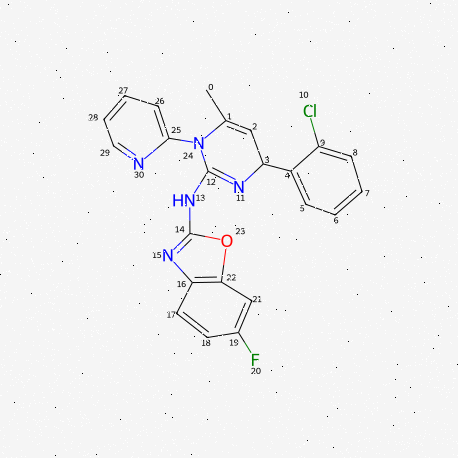 CC1=CC(c2ccccc2Cl)N=C(Nc2nc3ccc(F)cc3o2)N1c1ccccn1